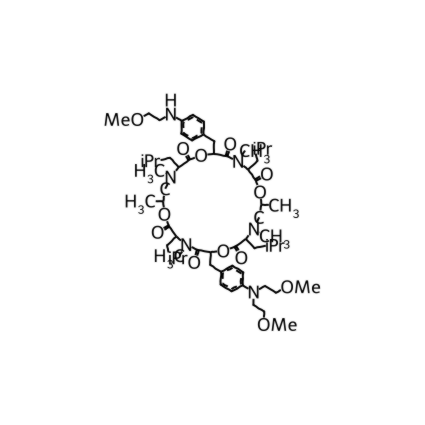 COCCNc1ccc(CC2OC(=O)C(CC(C)C)N(C)CC(C)OC(=O)C(CC(C)C)N(C)C(=O)C(Cc3ccc(N(CCOC)CCOC)cc3)OC(=O)C(CC(C)C)N(C)CC(C)OC(=O)C(CC(C)C)N(C)C2=O)cc1